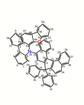 c1ccc(-c2ccccc2N(c2cc3c(c4ccccc24)-c2c(ccc4ccccc24)C3(c2ccccc2)c2ccccc2)c2cccc3c2oc2ccccc23)cc1